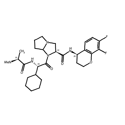 CN[C@@H](C)C(=O)N[C@H](C(=O)N1C2CCCN2C[C@H]1C(=O)N[C@@H]1CCOc2c1ccc(F)c2F)C1CCCCC1